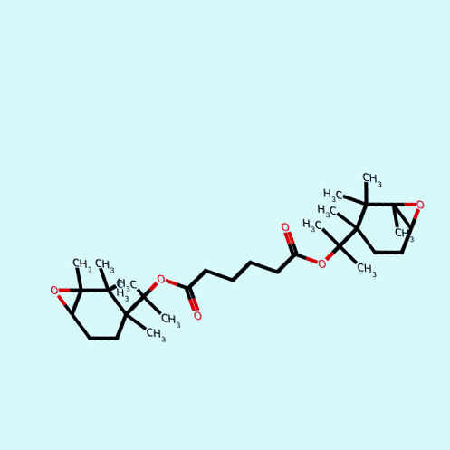 CC(C)(OC(=O)CCCCC(=O)OC(C)(C)C1(C)CCC2OC2(C)C1(C)C)C1(C)CCC2OC2(C)C1(C)C